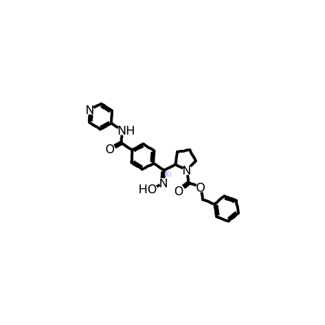 O=C(Nc1ccncc1)c1ccc(/C(=N\O)C2CCCN2C(=O)OCc2ccccc2)cc1